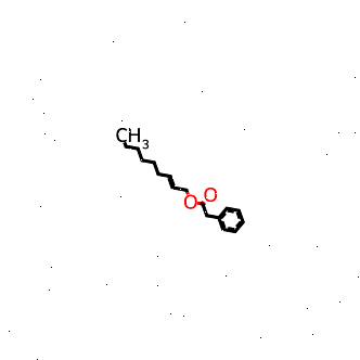 CCCCCC/C=C/COC(=O)Cc1ccccc1